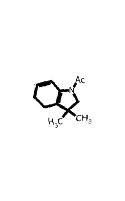 CC(=O)N1CC(C)(C)C2=C1C=[C]CC2